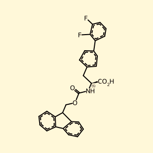 O=C(N[C@@H](Cc1ccc(-c2cccc(F)c2F)cc1)C(=O)O)OCC1c2ccccc2-c2ccccc21